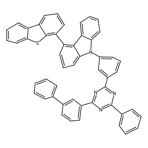 c1ccc(-c2cccc(-c3nc(-c4ccccc4)nc(-c4cccc(-n5c6ccccc6c6c(-c7cccc8c7sc7ccccc78)cccc65)c4)n3)c2)cc1